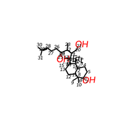 CCC1[C@@]2(C)CC[C@H](O)C(C)(C)C2CC[C@@]1(C)[C@](C)(CC)C(CO)C(C)[C@@H](O)CCC=C(C)C